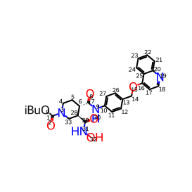 CC(C)COC(=O)N1CC[C@H](C(=O)Nc2ccc(COc3ccnc4ccccc34)cc2)[C@@H](C(=O)NO)C1